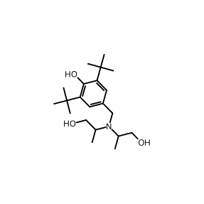 CC(CO)N(Cc1cc(C(C)(C)C)c(O)c(C(C)(C)C)c1)C(C)CO